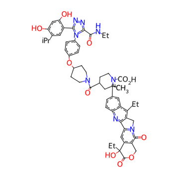 CCNC(=O)c1nnc(-c2cc(C(C)C)c(O)cc2O)n1-c1ccc(OC2CCN(C(=O)C3CCN(C(=O)O)[C@](C)(c4ccc5nc6c(c(CC)c5c4)Cn4c-6cc5c(c4=O)COC(=O)C5(O)CC)C3)CC2)cc1